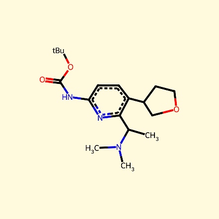 CC(c1nc(NC(=O)OC(C)(C)C)ccc1C1CCOC1)N(C)C